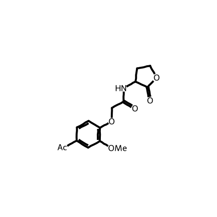 COc1cc(C(C)=O)ccc1OCC(=O)NC1CCOC1=O